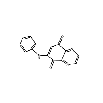 O=C1C=C(Nc2ccccc2)C(=O)c2nccnc21